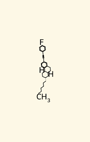 CCCCCCC[C@@H]1CC[C@@H]2c3ccc(C#Cc4ccc(F)cc4)cc3CC[C@@H]2C1